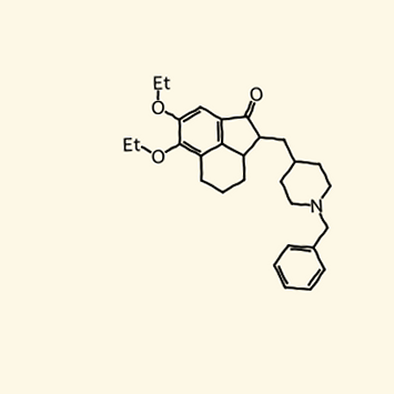 CCOc1cc2c3c(c1OCC)CCCC3C(CC1CCN(Cc3ccccc3)CC1)C2=O